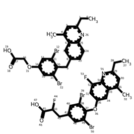 CCc1cc(C)c2cc(Cc3c(Br)cc(OCC(=O)O)cc3Br)ccc2n1.CCc1cc(C)c2cc(Oc3c(Br)cc(CC(F)C(=O)O)cc3Br)cc(F)c2n1